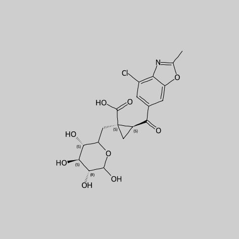 Cc1nc2c(Cl)cc(C(=O)[C@H]3C[C@@]3(CC3OC(O)[C@H](O)[C@@H](O)[C@@H]3O)C(=O)O)cc2o1